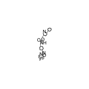 O=C(NCc1ccc(-c2noc(C(F)(F)F)n2)cc1)OCc1ccc(-c2ccccc2)nc1